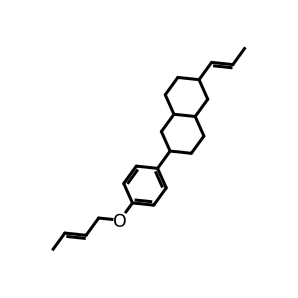 CC=CCOc1ccc(C2CCC3CC(C=CC)CCC3C2)cc1